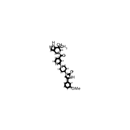 COc1cccc(-c2cn(C3CCN(c4cc(C(=O)N5Cc6cn[nH]c6C(C)(C)C5)ccn4)CC3)c(=O)[nH]2)c1